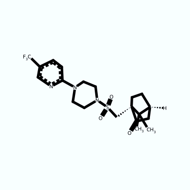 CC1(C)[C@H]2CC[C@]1(CS(=O)(=O)N1CCN(c3ccc(C(F)(F)F)cn3)CC1)C(=O)C2